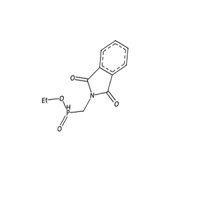 CCO[PH](=O)CN1C(=O)c2ccccc2C1=O